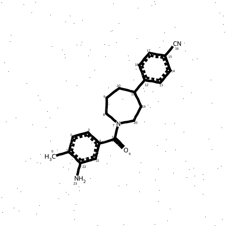 Cc1ccc(C(=O)N2CCCC(c3ccc(C#N)cc3)CC2)cc1N